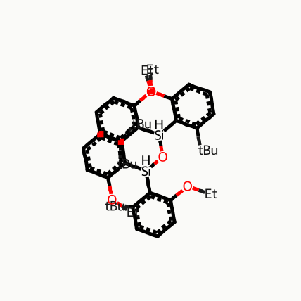 CCOc1cccc(C(C)(C)C)c1[SiH](O[SiH](c1c(OCC)cccc1C(C)(C)C)c1c(OCC)cccc1C(C)(C)C)c1c(OCC)cccc1C(C)(C)C